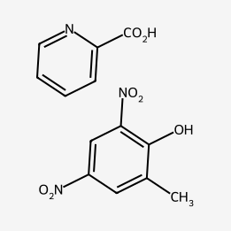 Cc1cc([N+](=O)[O-])cc([N+](=O)[O-])c1O.O=C(O)c1ccccn1